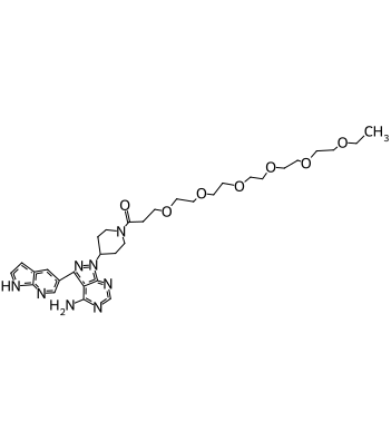 CCOCCOCCOCCOCCOCCOCCC(=O)N1CCC(n2nc(-c3cnc4[nH]ccc4c3)c3c(N)ncnc32)CC1